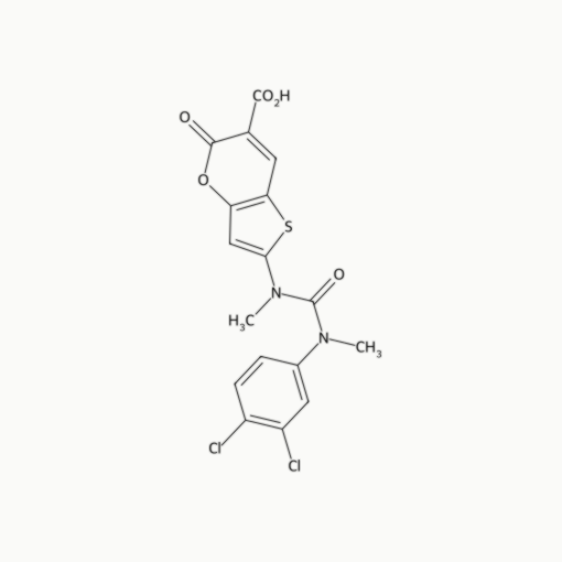 CN(C(=O)N(C)c1cc2oc(=O)c(C(=O)O)cc2s1)c1ccc(Cl)c(Cl)c1